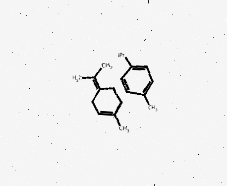 CC1=CCC(=C(C)C)CC1.Cc1ccc(C(C)C)cc1